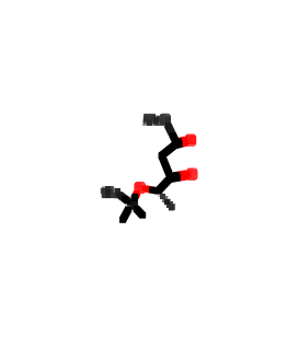 COC(=O)CC(=O)[C@H](C)O[Si](C)(C)C(C)(C)C